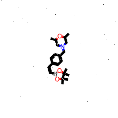 CC1CN(Cc2ccc(/C=C\B3OC(C)(C)C(C)(C)O3)cc2)CC(C)O1